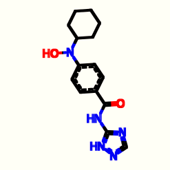 O=C(Nc1ncn[nH]1)c1ccc(N(O)C2CCCCC2)cc1